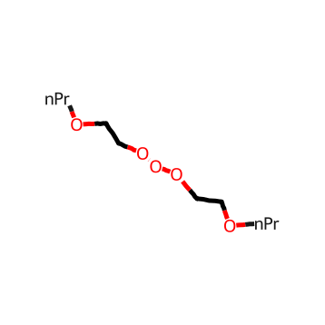 CCCOCCOOOCCOCCC